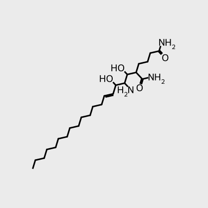 CCCCCCCCCCCCCC=CC(O)C(N)C(O)C(CCCC(N)=O)C(N)=O